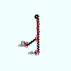 CCCCC(CC)OC(=O)CCCCCCCOCC(COCCOCCOCCOCCOCc1ccccc1)OCCCCCCCC(=O)OC(CC)CCCC